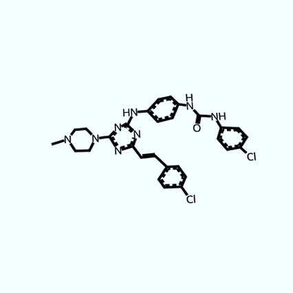 CN1CCN(c2nc(/C=C/c3ccc(Cl)cc3)nc(Nc3ccc(NC(=O)Nc4ccc(Cl)cc4)cc3)n2)CC1